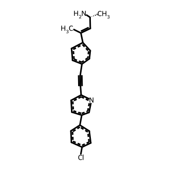 C/C(=C\[C@@H](C)N)c1ccc(C#Cc2ccc(-c3ccc(Cl)cc3)cn2)cc1